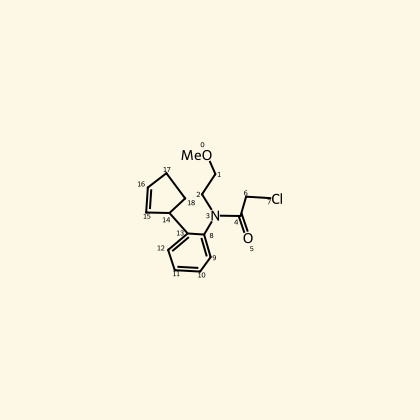 COCCN(C(=O)CCl)c1ccccc1C1C=CCC1